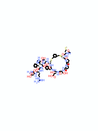 CSCC[C@H](NC(C)=O)C(=O)N[C@H]1CSCc2cccc(c2)CSC[C@@H](C(=O)N[C@@H](CC(=O)O)C(=O)N[C@@H](Cc2c[nH]cn2)C(=O)N(C)[C@@H](Cc2ccccc2)C(=O)N[C@@H](CCCNC(=N)N)C(=O)N[C@@H](CC(O)O)C(N)=O)NC(=O)[C@H](Cc2ccccc2)NC(O)[C@H](CCC(=O)O)NC(=O)[C@H]([C@@H](C)O)NC(=O)[C@@H]2CCCN2C(=O)[C@@H]2CCCN2C1=O